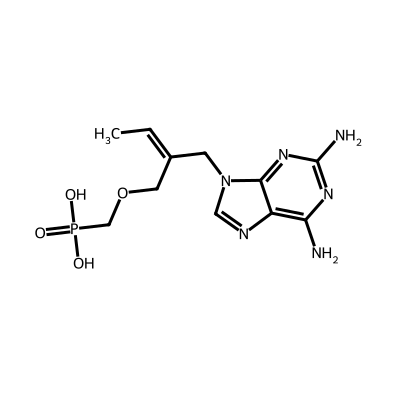 CC=C(COCP(=O)(O)O)Cn1cnc2c(N)nc(N)nc21